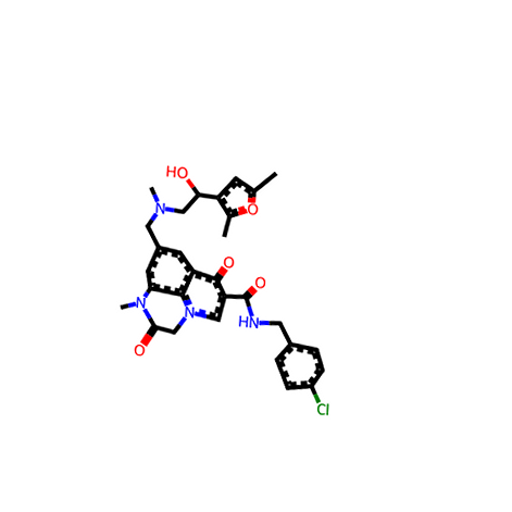 Cc1cc(C(O)CN(C)Cc2cc3c4c(c2)c(=O)c(C(=O)NCc2ccc(Cl)cc2)cn4CC(=O)N3C)c(C)o1